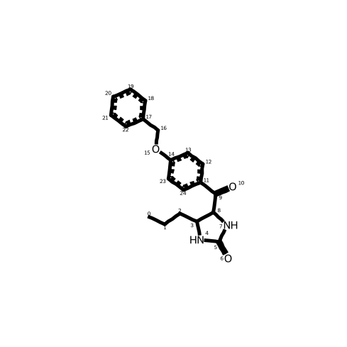 CCCC1NC(=O)NC1C(=O)c1ccc(OCc2ccccc2)cc1